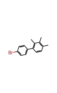 Cc1ccc(-c2ccc(Br)cc2)c(C)c1C